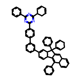 C1=CCC(c2nc(-c3ccccc3)nc(-c3ccc(-c4cccc(C5=CC6C(C=C5)C5=C(c7ccccc7)C7C=CC=CC7C=C5C6(C5=CCCC=C5)c5ccccc5)c4)cc3)n2)C=C1